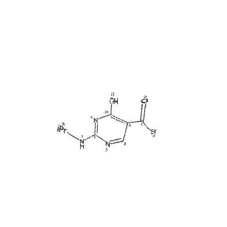 CCC(=O)c1cnc(NC(C)C)nc1O